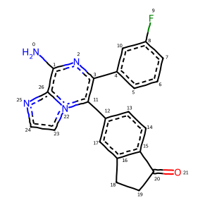 Nc1nc(-c2cccc(F)c2)c(-c2ccc3c(c2)CCC3=O)n2ccnc12